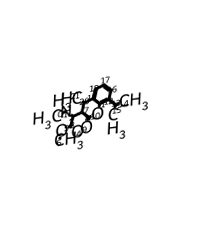 CNC(C(=O)OC)C1C(=O)Oc2c(C(C)C)cccc2C1C